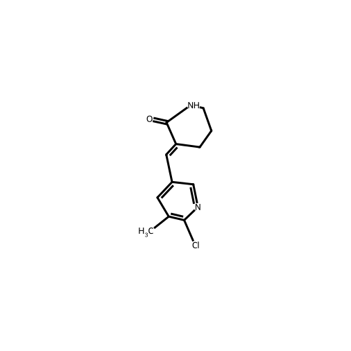 Cc1cc(C=C2CCCNC2=O)cnc1Cl